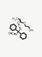 CC=COCCO.O=C=NC(N=C=O)(c1ccccc1)c1ccccc1